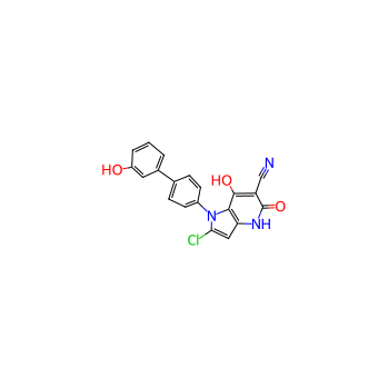 N#Cc1c(O)c2c(cc(Cl)n2-c2ccc(-c3cccc(O)c3)cc2)[nH]c1=O